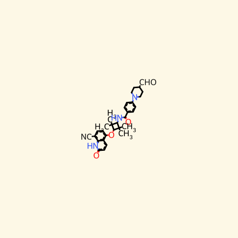 CC1(C)C(NC(=O)c2ccc(N3CCC(C=O)CC3)cc2)C(C)(C)C1Oc1ccc(C#N)c2[nH]c(=O)ccc12